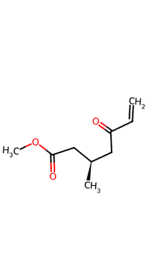 C=CC(=O)C[C@@H](C)CC(=O)OC